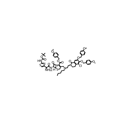 CCCCCN(CCN1CCc2c(cc(OCc3ccc(OC)cc3)c(OCc3ccc(OC)cc3)c2Cl)C1=O)CC1=C(C(=O)OCc2ccc(OC)cc2)N2C(=O)[C@@H](NC(=O)C(=N)c3csc(NC(=O)OC(C)(C)C)n3)[C@H]2SC1